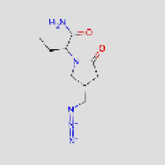 CC[C@@H](C(N)=O)N1CC(CN=[N+]=[N-])CC1=O